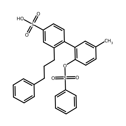 Cc1ccc(OS(=O)(=O)c2ccccc2)c(-c2ccc(S(=O)(=O)O)cc2CCCc2ccccc2)c1